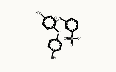 CCCc1ccc([I+]c2ccc(CCC)cc2)cc1.O=[N+]([O-])c1cccc(S(=O)(=O)[O-])c1